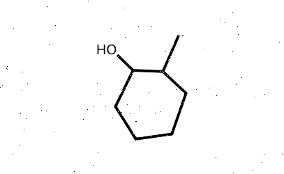 [CH2]C1CCCCC1O